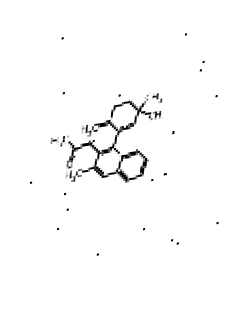 C=C1CCC(C)(C)C=C1c1c(CC(C)=O)c(C)cc2ccccc12